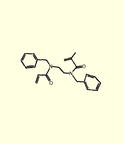 C=CC(=O)N(CCN(Cc1ccccc1)C(=O)C(=C)C)Cc1ccccc1